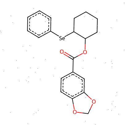 O=C(OC1CCCCC1[Se]c1ccccc1)c1ccc2c(c1)OCO2